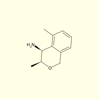 Cc1cccc2c1[C@H](N)[C@H](C)OC2